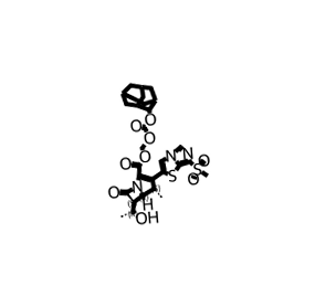 C[C@@H](O)[C@H]1C(=O)N2C(C(=O)OCOC(=O)OC3C4CC5CC(C4)CC3C5)=C(c3cn4cnc(S(C)(=O)=O)c4s3)[C@H](C)[C@H]12